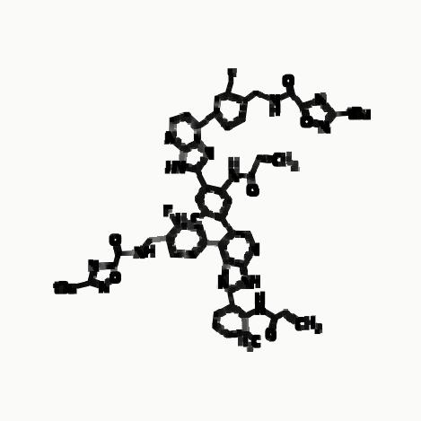 C=CC(=O)Nc1cc(-c2cnc3[nH]c(-c4cccc(C)c4NC(=O)C=C)nc3c2-c2ccc(CNC(=O)c3nc(C(C)(C)C)no3)c(F)c2)c(C)cc1-c1nc2c(-c3ccc(CNC(=O)c4nc(C(C)(C)C)no4)c(F)c3)ccnc2[nH]1